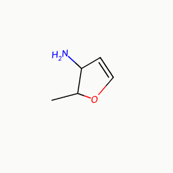 CC1OC=CC1N